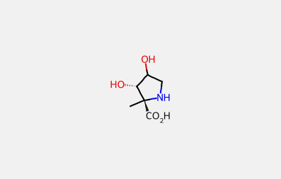 C[C@@]1(C(=O)O)NCC(O)[C@H]1O